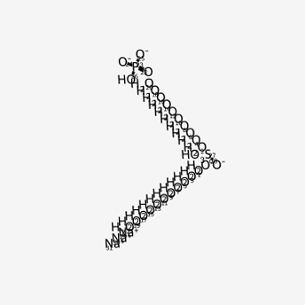 O.O.O.O.O.O.O.O.O.O.O.O.O.O.O.O.O.O.O.O.O.O.O=P([O-])([O-])O.O=S(=O)([O-])O.[Na+].[Na+].[Na+]